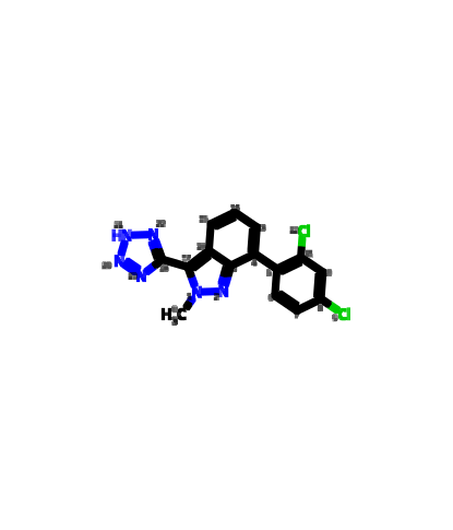 Cn1nc2c(-c3ccc(Cl)cc3Cl)cccc2c1-c1nn[nH]n1